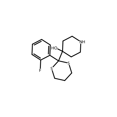 OC1(C2(c3ccccc3F)SCCCS2)CCNCC1